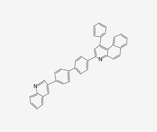 c1ccc(-c2cc(-c3ccc(-c4ccc(-c5cnc6ccccc6c5)cc4)cc3)nc3ccc4ccccc4c23)cc1